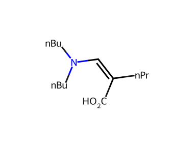 CCCCN(C=C(CCC)C(=O)O)CCCC